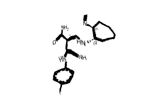 C=N[C@H]1CCCC[C@@H]1N/C=C(\C(=N)Nc1ccc(F)cc1)C(N)=O